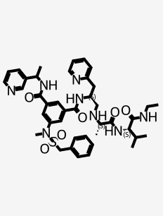 CCNC(=O)[C@@H](NC(=O)[C@H](C)NC[C@H](Cc1ccccn1)NC(=O)c1cc(C(=O)NC(C)c2cccnc2)cc(N(C)S(=O)(=O)Cc2ccccc2)c1)C(C)C